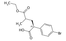 CCOC(=O)C(C)C[C@H](C(=O)O)c1ccc(Br)cc1